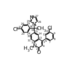 Cn1c(=O)cc(-c2cccc(Cl)c2)c2cc(C(C)(c3ccc(Cl)cc3)n3ccnc3)ccc21